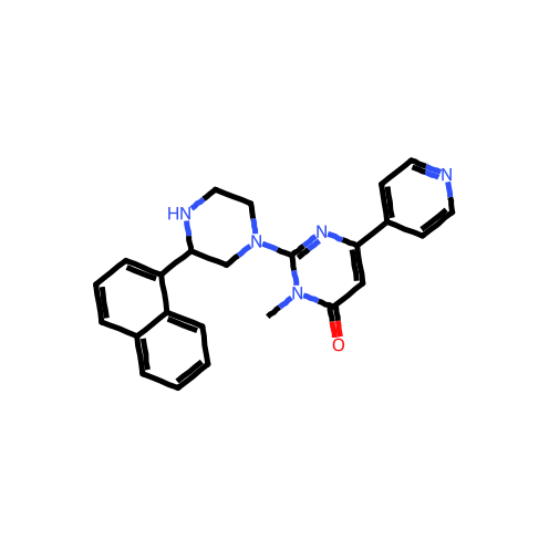 Cn1c(N2CCNC(c3cccc4ccccc34)C2)nc(-c2ccncc2)cc1=O